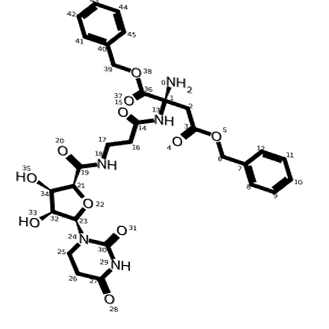 N[C@@](CC(=O)OCc1ccccc1)(NC(=O)CCNC(=O)[C@H]1O[C@@H](N2CCC(=O)NC2=O)[C@@H](O)[C@H]1O)C(=O)OCc1ccccc1